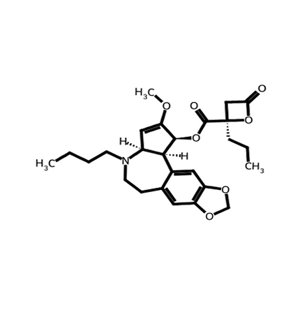 CCCCN1CCc2cc3c(cc2[C@@H]2[C@H](OC(=O)[C@@]4(CCC)CC(=O)O4)C(OC)=C[C@@H]21)OCO3